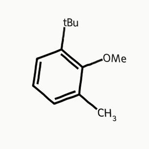 COc1c(C)cccc1C(C)(C)C